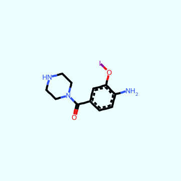 Nc1ccc(C(=O)N2CCNCC2)cc1OI